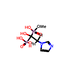 [2H]C([2H])(n1ccnc1)C(O)(P(=O)(O)O)P(=O)(O)OC